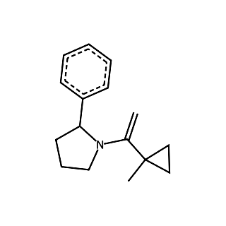 C=C(N1CCCC1c1ccccc1)C1(C)CC1